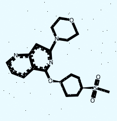 CS(=O)(=O)[C@H]1CC[C@@H](Oc2nc(N3CCOCC3)cc3ncccc23)CC1